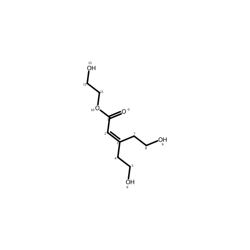 O=C(C=C(CCO)CCO)OCCO